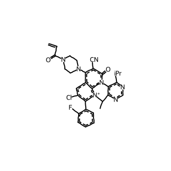 C=CC(=O)N1CCN(c2c(C#N)c(=O)n3c4c2cc(Cl)c(-c2ccccc2F)[n+]4C(C)c2ncnc(C(C)C)c2-3)CC1